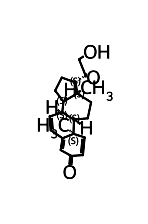 C[C@]12CC[C@H]3[C@@H](C=CC4=CC(=O)C=C[C@@]43C)[C@@H]1CC[C@@H]2C(=O)CO